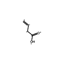 C=C[CH]C(=O)O